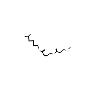 COCCC(=O)NC[C@H](O)[C@H](C)C(=O)NCCCCC(C)C